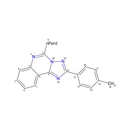 CCCCCc1nc2ccccc2c2nc(-c3ccc(C)cc3)nn12